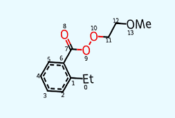 CCc1ccccc1C(=O)OOCCOC